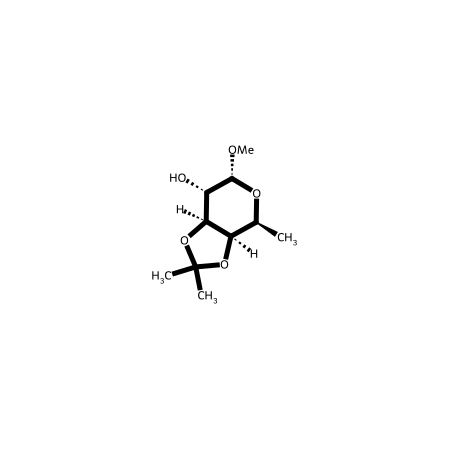 CO[C@@H]1O[C@@H](C)[C@H]2OC(C)(C)O[C@H]2[C@@H]1O